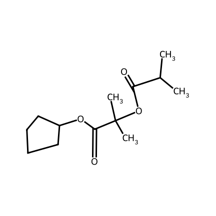 CC(C)C(=O)OC(C)(C)C(=O)OC1CCCC1